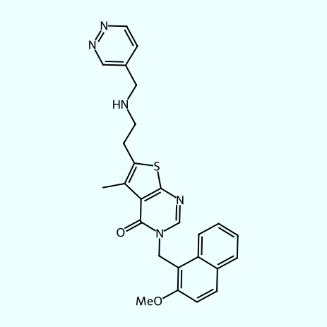 COc1ccc2ccccc2c1Cn1cnc2sc(CCNCc3ccnnc3)c(C)c2c1=O